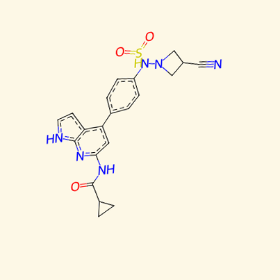 N#CC1CN(N(c2ccc(-c3cc(NC(=O)C4CC4)nc4[nH]ccc34)cc2)[SH](=O)=O)C1